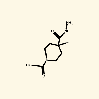 NNC(=O)C1(F)CCN(C(=O)O)CC1